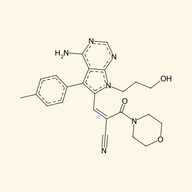 Cc1ccc(-c2c(/C=C(/C#N)C(=O)N3CCOCC3)n(CCCO)c3ncnc(N)c23)cc1